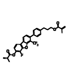 C=C(C)C(=O)OCCCc1ccc(-c2ccc3c(oc4c(F)c(OC(=O)C(=C)C)ccc43)c2C(F)(F)F)cc1